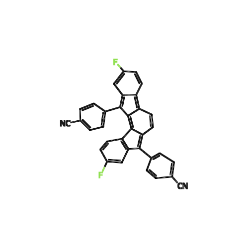 N#Cc1ccc(C2=c3ccc4c(c3-c3ccc(F)cc32)C(c2ccc(C#N)cc2)=c2cc(F)ccc2=4)cc1